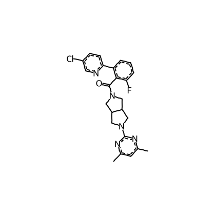 Cc1cc(C)nc(N2CC3CN(C(=O)c4c(F)cccc4-c4ccc(Cl)cn4)CC3C2)n1